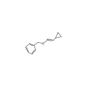 C(=N\OCc1ccccc1)/C1CC1